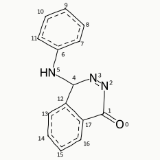 O=C1N=NC(Nc2ccccc2)c2ccccc21